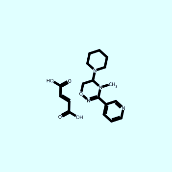 CN1C(c2cccnc2)=NOCC1N1CCCCC1.O=C(O)C=CC(=O)O